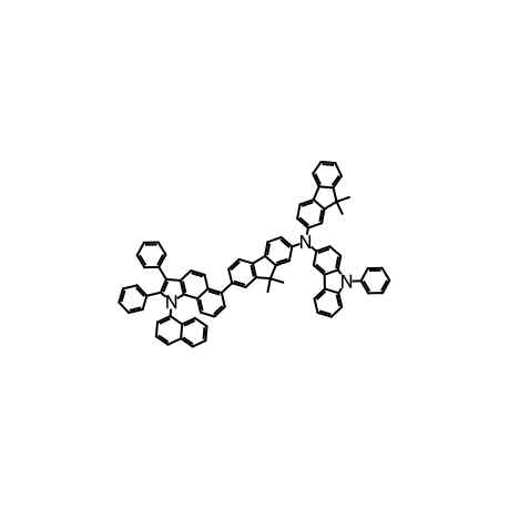 CC1(C)c2ccccc2-c2ccc(N(c3ccc4c(c3)C(C)(C)c3cc(-c5cccc6c5ccc5c(-c7ccccc7)c(-c7ccccc7)n(-c7cccc8ccccc78)c56)ccc3-4)c3ccc4c(c3)c3ccccc3n4-c3ccccc3)cc21